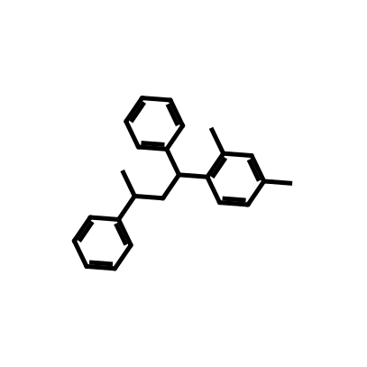 Cc1ccc(C(CC(C)c2ccccc2)c2ccccc2)c(C)c1